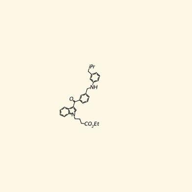 CCOC(=O)CCCn1cc(C(=O)c2cccc(CNc3cccc(CC(C)C)c3)c2)c2ccccc21